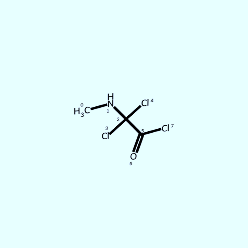 CNC(Cl)(Cl)C(=O)Cl